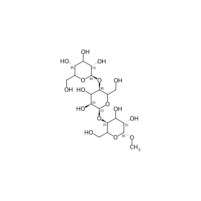 CO[C@@H]1OC(CO)[C@@H](O[C@@H]2OC(CO)[C@H](O[C@H]3OC(CO)[C@H](O)C(O)[C@@H]3O)C(O)[C@@H]2O)C(O)[C@@H]1O